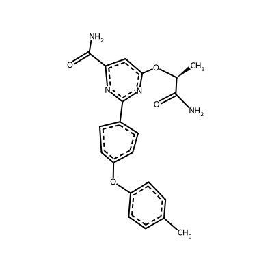 Cc1ccc(Oc2ccc(-c3nc(O[C@@H](C)C(N)=O)cc(C(N)=O)n3)cc2)cc1